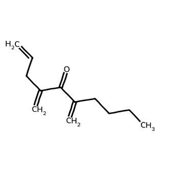 C=CCC(=C)C(=O)C(=C)CCCC